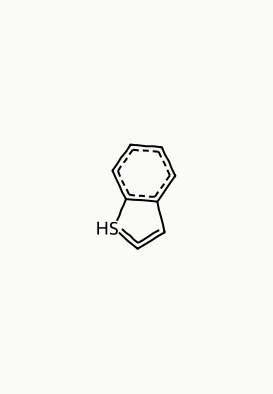 C1=Cc2ccccc2[SH]=1